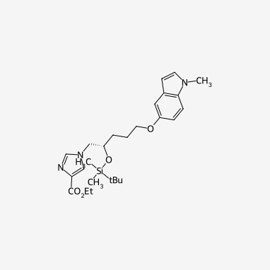 CCOC(=O)c1cn(C[C@H](CCCOc2ccc3c(ccn3C)c2)O[Si](C)(C)C(C)(C)C)cn1